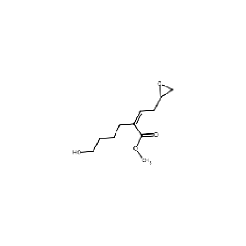 COC(=O)C(=CCC1CO1)CCCCO